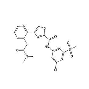 CN(C)C(=O)Cc1cccnc1-c1csc(C(=O)Nc2cc(Cl)cc(S(C)(=O)=O)c2)c1